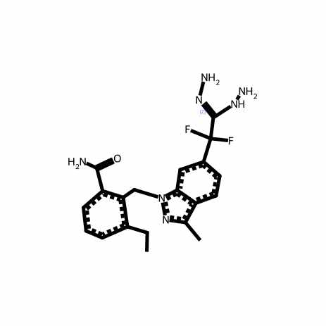 CCc1cccc(C(N)=O)c1Cn1nc(C)c2ccc(C(F)(F)/C(=N/N)NN)cc21